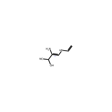 C=CN/C=C(\N)C(O)C#N